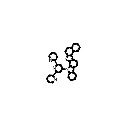 c1ccc(-c2cc(-n3c4ccccc4c4ccc5c(sc6ccc7ccccc7c65)c43)cc(-c3ccccn3)n2)nc1